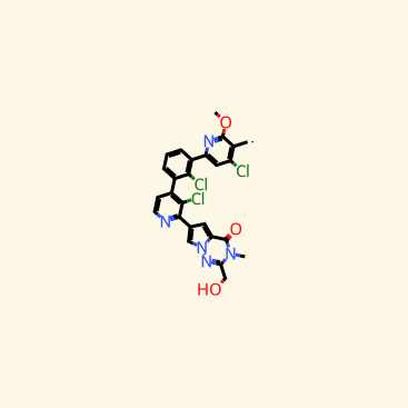 [CH2]c1c(Cl)cc(-c2cccc(-c3ccnc(-c4cc5c(=O)n(C)c(CO)nn5c4)c3Cl)c2Cl)nc1OC